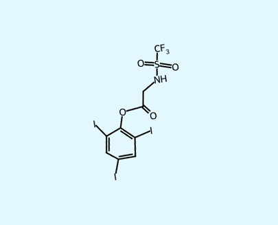 O=C(CNS(=O)(=O)C(F)(F)F)Oc1c(I)cc(I)cc1I